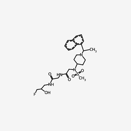 CC(c1cccc2ccccc12)N1CCC(N(CC(=O)NCC(=O)NCC(O)CF)S(C)(=O)=O)CC1